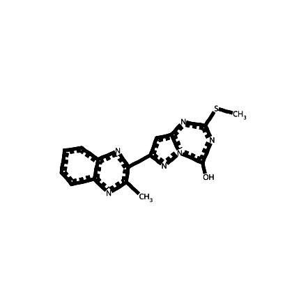 CSc1nc(O)n2nc(-c3nc4ccccc4nc3C)cc2n1